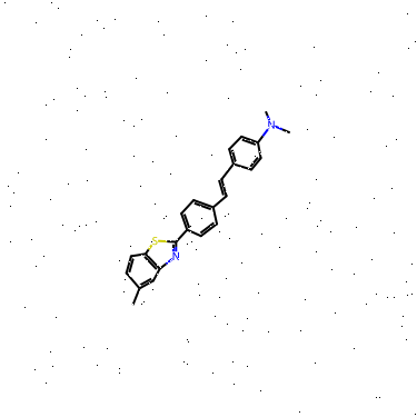 Cc1ccc2sc(-c3ccc(/C=C/c4ccc(N(C)C)cc4)cc3)nc2c1